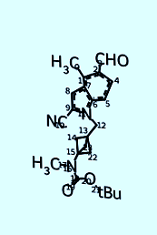 Cc1c(C=O)ccc2c1cc(C#N)n2CC12CC(N(C)C(=O)OC(C)(C)C)(C1)C2